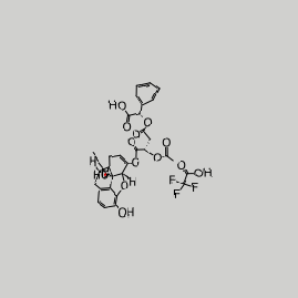 CC(=O)O[C@@H](CC(=O)O[C@H](C(=O)O)c1ccccc1)C(=O)OC1=CC[C@@]2(O)[C@H]3Cc4ccc(O)c5c4[C@@]2(CCN3C)[C@H]1O5.O=C(O)C(F)(F)F